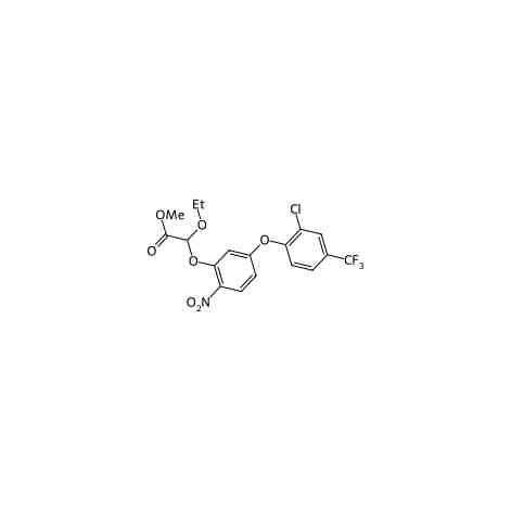 CCOC(Oc1cc(Oc2ccc(C(F)(F)F)cc2Cl)ccc1[N+](=O)[O-])C(=O)OC